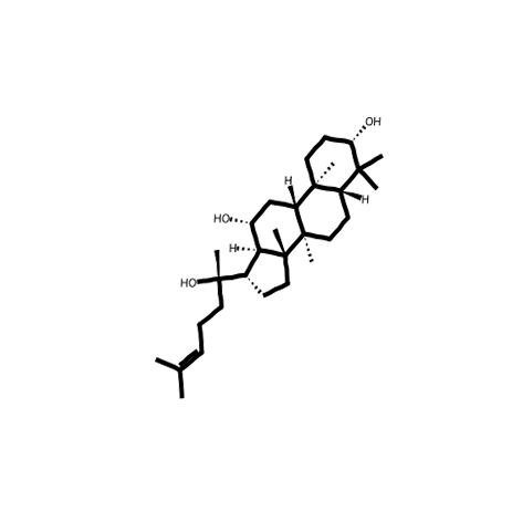 CC(C)=CCC[C@](C)(O)[C@H]1CC[C@]2(C)[C@@H]1[C@H](O)C[C@@H]1[C@@]3(C)CC[C@H](O)C(C)(C)[C@@H]3CC[C@]12C